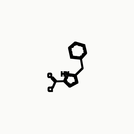 O=C(Cl)c1ccc(Cc2ccccc2)[nH]1